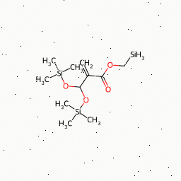 C=C(C(=O)OC[SiH3])C(O[Si](C)(C)C)O[Si](C)(C)C